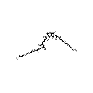 COCCOCCOCCCNC(=O)CCN1C(=O)CC(CCCC(=O)N[C@@H](SC2CC(=O)N(CC(=O)NCCCOCCOCCOC)C2=O)C(N)=O)C1=O